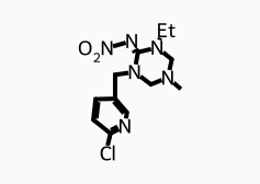 CCN1CN(C)CN(Cc2ccc(Cl)nc2)/C1=N\[N+](=O)[O-]